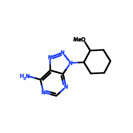 COC1CCCCC1n1nnc2c(N)ncnc21